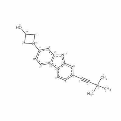 C[Si](C)(C)C#Cc1ccc2c(c1)nc1cc(N3CC(O)C3)ccn12